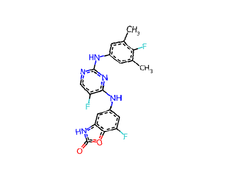 Cc1cc(Nc2ncc(F)c(Nc3cc(F)c4oc(=O)[nH]c4c3)n2)cc(C)c1F